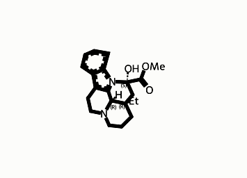 CC[C@@]12CCCN3CCc4c(n(c5ccccc45)[C@@](O)(C(=O)OC)C1)[C@H]32